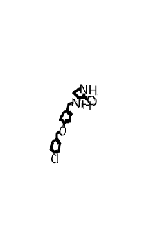 O=C1NCCC1NCc1ccc(OCc2ccc(Cl)cc2)cc1